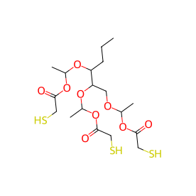 CCCC(OC(C)OC(=O)CS)C(COC(C)OC(=O)CS)OC(C)OC(=O)CS